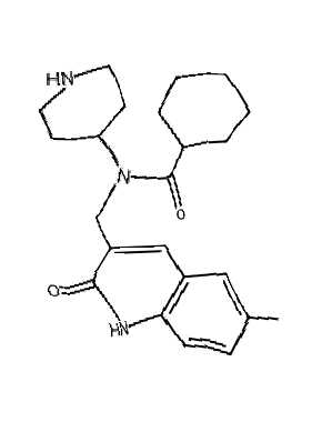 Cc1ccc2[nH]c(=O)c(CN(C(=O)C3CCCCC3)C3CCNCC3)cc2c1